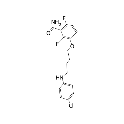 NC(=O)c1c(F)ccc(OCCCCNc2ccc(Cl)cc2)c1F